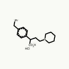 CC(C)Cc1ccc(C(CCN2CCCCC2)C(=O)O)cc1.Cl